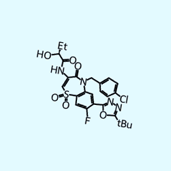 CC[C@H](O)C(=O)NC1=CS(=O)(=O)c2cc(F)c(-c3nnc(C(C)(C)C)o3)cc2N(Cc2ccc(Cl)cc2)C1=O